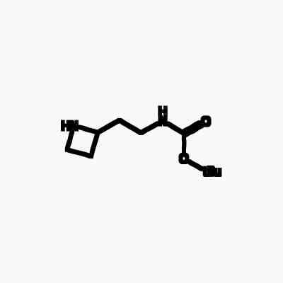 CC(C)(C)OC(=O)NCCC1CCN1